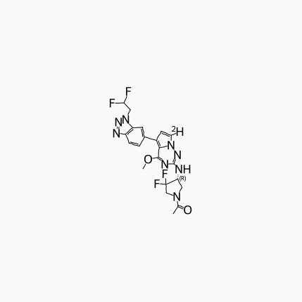 [2H]c1cc(-c2ccc3nnn(CC(F)F)c3c2)c2c(OC)nc(N[C@@H]3CN(C(C)=O)CC3(F)F)nn12